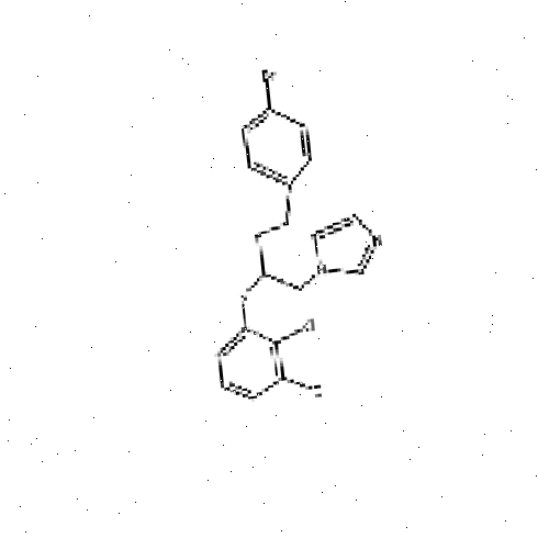 Clc1cccc(SC(CCc2ccc(Br)cc2)Cn2ccnc2)c1Cl